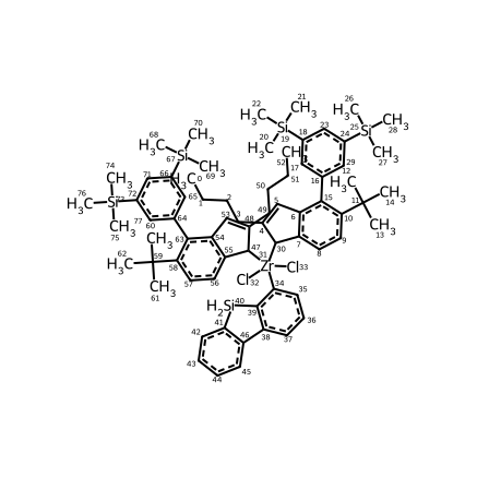 CCCCC1=Cc2c(ccc(C(C)(C)C)c2-c2cc([Si](C)(C)C)cc([Si](C)(C)C)c2)[CH]1[Zr]([Cl])([Cl])([c]1cccc2c1[SiH2]c1ccccc1-2)[CH]1C(CCCC)=Cc2c1ccc(C(C)(C)C)c2-c1cc([Si](C)(C)C)cc([Si](C)(C)C)c1